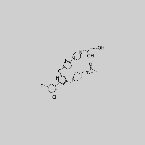 CC(=O)NCC1CCN(Cc2cc(Oc3ccc(N4CCN(CC(O)CCO)CC4)nc3)nc(-c3cc(Cl)cc(Cl)c3)c2)CC1